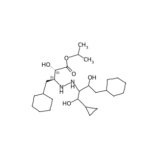 CC(C)OC(=O)[C@@H](O)[C@H](CC1CCCCC1)NNC(C(O)CC1CCCCC1)C(O)C1CC1